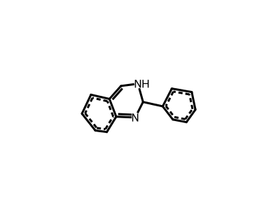 C1=c2ccccc2=NC(c2ccccc2)N1